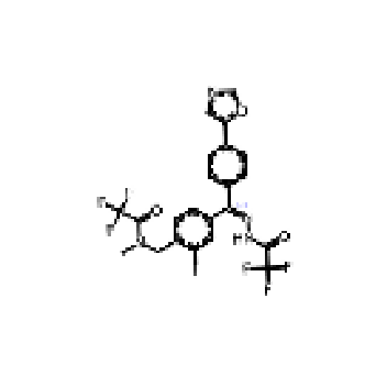 CN(Cc1ccc(/C(=N\NC(=O)C(F)(F)F)c2ccc(-c3cnco3)cc2)cc1I)C(=O)C(F)(F)F